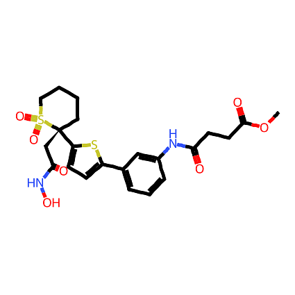 COC(=O)CCC(=O)Nc1cccc(-c2ccc([C@@]3(CC(=O)NO)CCCCS3(=O)=O)s2)c1